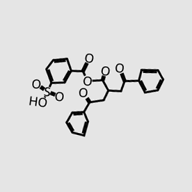 O=C(CC(CC(=O)c1ccccc1)C(=O)OC(=O)c1cccc(S(=O)(=O)O)c1)c1ccccc1